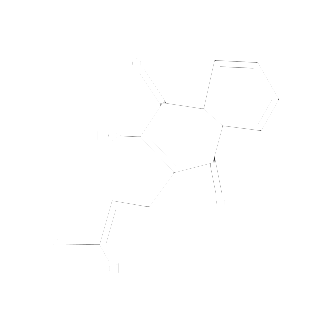 O=C1C(O)=C(CC=C(Cl)Cl)C(=O)C2C=CC=CC12